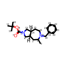 CC1C[C@@H]2CN(C(=O)OC(C)(C)C)C[C@@H]2CCN1Cc1ccccc1